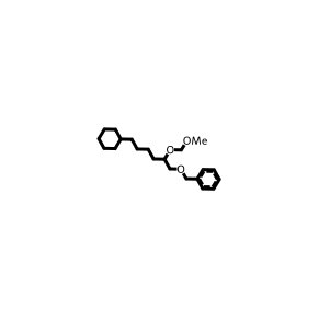 COCOC(CCCCC1CCCCC1)COCc1ccccc1